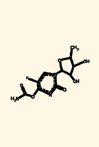 CC1OC(n2cc(F)c(OC(N)=O)nc2=O)C(O)C1O